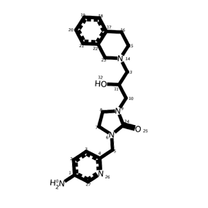 Nc1ccc(CN2CCN(CC(O)CN3CCc4ccccc4C3)C2=O)nc1